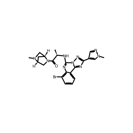 C[C@@H](Nc1nc2c(Br)cccc2c2nc(-c3cnn(C)c3)nn12)C(=O)N1C[C@H]2C[C@@H]1CN2C